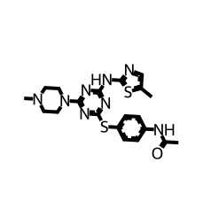 CC(=O)Nc1ccc(Sc2nc(Nc3ncc(C)s3)nc(N3CCN(C)CC3)n2)cc1